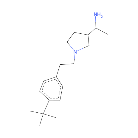 CC(N)C1CCN(CCc2ccc(C(C)(C)C)cc2)C1